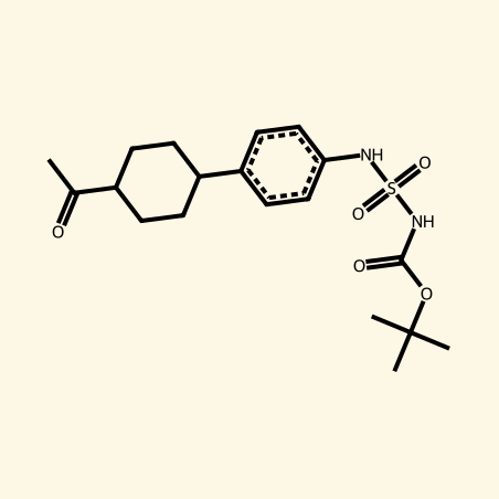 CC(=O)C1CCC(c2ccc(NS(=O)(=O)NC(=O)OC(C)(C)C)cc2)CC1